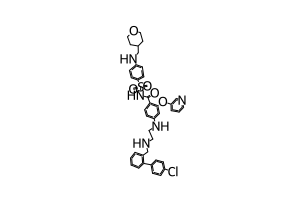 O=C(NS(=O)(=O)c1ccc(NCC2CCOCC2)cc1)c1ccc(NCCNCc2ccccc2-c2ccc(Cl)cc2)cc1Oc1cccnc1